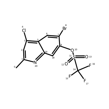 Cc1cc(Cl)c2cc(Br)c(OS(=O)(=O)C(F)(F)F)cc2n1